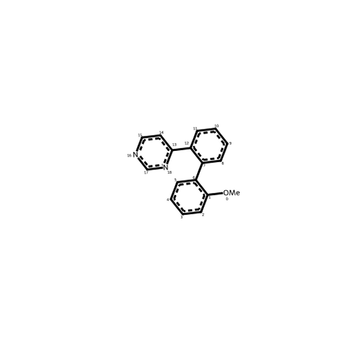 COc1ccccc1-c1ccccc1-c1ccncn1